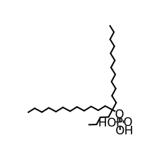 CCCCCCCCCCCCC(CCCC)(CCCCCCCCCCCC)OP(=O)(O)O